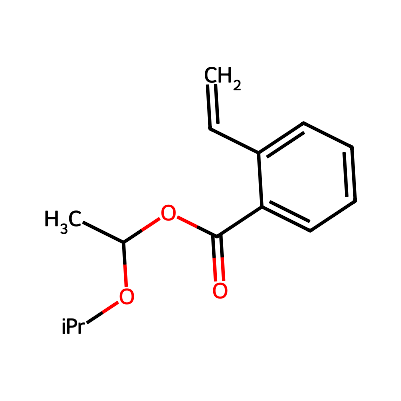 C=Cc1ccccc1C(=O)OC(C)OC(C)C